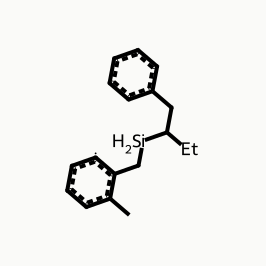 CCC(Cc1ccccc1)[SiH2]Cc1[c]cccc1C